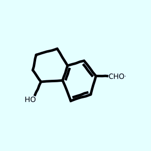 O=[C]c1ccc2c(c1)CCCC2O